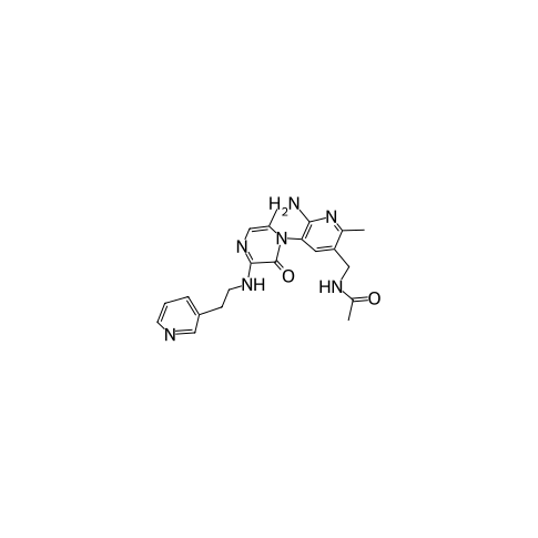 CC(=O)NCc1cc(-n2c(C)cnc(NCCc3cccnc3)c2=O)c(N)nc1C